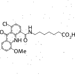 COc1cccc2c(=O)c3c(Cl)ccc(C(=O)NCCCCCCC(=O)O)c3[nH]c12